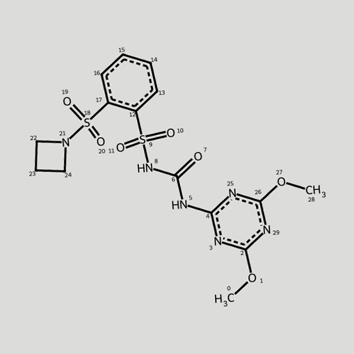 COc1nc(NC(=O)NS(=O)(=O)c2ccccc2S(=O)(=O)N2CCC2)nc(OC)n1